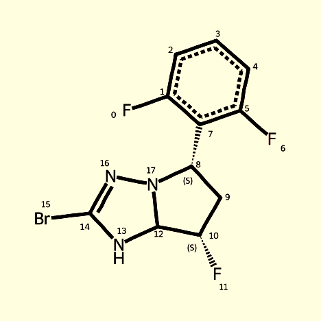 Fc1cccc(F)c1[C@@H]1C[C@H](F)C2NC(Br)=NN21